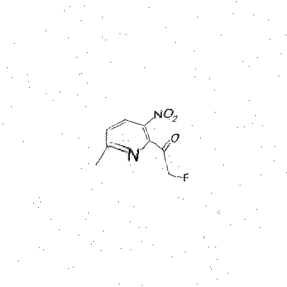 Cc1ccc([N+](=O)[O-])c(C(=O)CF)n1